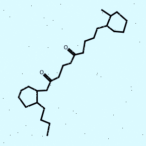 CCCCC1CCCCC1CC(=O)CCCC(=O)CCCCC1CCCCC1C